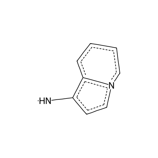 [NH]c1ccn2ccccc12